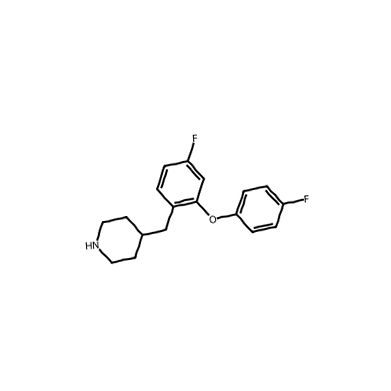 Fc1ccc(Oc2cc(F)ccc2CC2CCNCC2)cc1